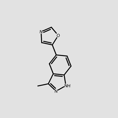 Cc1n[nH]c2ccc(-c3cnco3)cc12